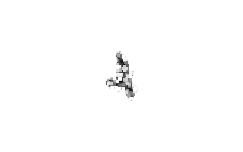 CC(C)C[C@H](NC(=O)C1(NC(=O)c2ccccc2)CCN(C(=O)OC(C)(C)C)CC1)C(=O)c1nnc(SC(C)C)o1